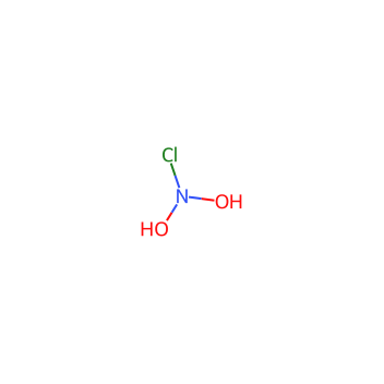 ON(O)Cl